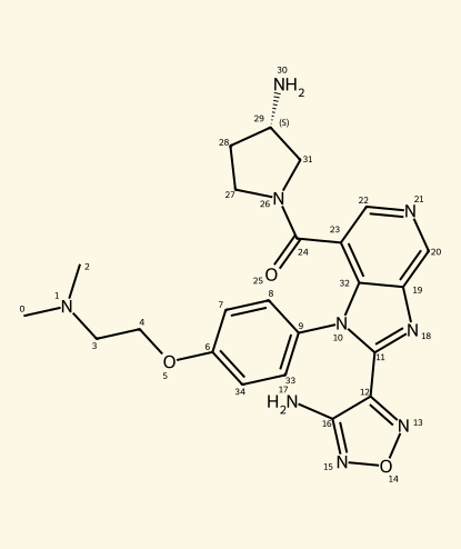 CN(C)CCOc1ccc(-n2c(-c3nonc3N)nc3cncc(C(=O)N4CC[C@H](N)C4)c32)cc1